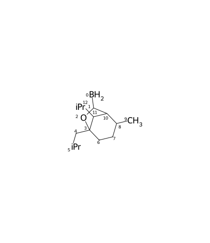 BC1OC2(CC(C)C)CCC(C)C1C2C(C)C